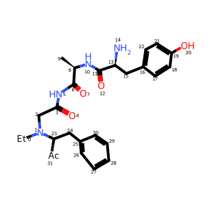 CCN(CC(=O)NC(=O)[C@@H](C)NC(=O)[C@@H](N)Cc1ccc(O)cc1)C(Cc1ccccc1)C(C)=O